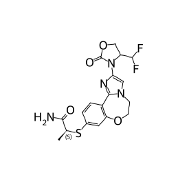 C[C@H](Sc1ccc2c(c1)OCCn1cc(N3C(=O)OCC3C(F)F)nc1-2)C(N)=O